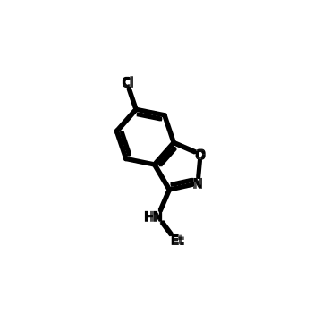 CCNc1noc2cc(Cl)ccc12